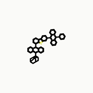 c1ccc(-c2c3ccccc3c(-c3ccc4c(c3)sc3c(-c5c6ccccc6c(C6C7CC8CC(C7)CC6C8)c6ccccc56)cccc34)c3ccccc23)cc1